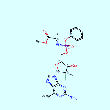 CC(=O)Nc1nc(N)nc2c1ncn2[C@@H]1O[C@H](CO[P@](=O)(N[C@@H](C)C(=O)OC(C)C)Oc2ccccc2)[C@@H](O)[C@@]1(C)F